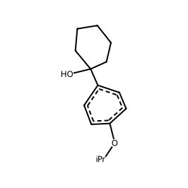 CC(C)Oc1ccc(C2(O)CCCCC2)cc1